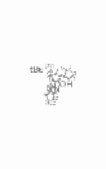 Cc1ccccc1-c1cc(C(C)(C)CC(C)(C)C)cc(-n2nc3ccccc3n2)c1O